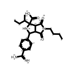 CCCCN1C(=O)C2C(c3ccc(C(=N)N)cc3)NC(C(=O)O)(C(C)CC)C2C1=O